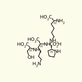 NCCCC[C@H](N)C(=O)O.NCCCC[C@H](N)C(=O)O.N[C@@H](CO)C(=O)O.O=C(O)[C@@H]1CCCN1